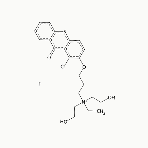 CC[N+](CCO)(CCO)CCCOc1ccc2sc3ccccc3c(=O)c2c1Cl.[I-]